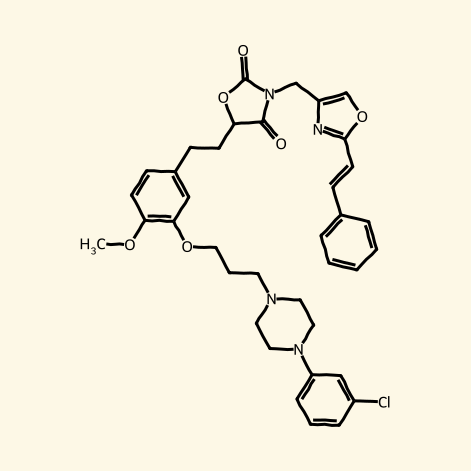 COc1ccc(CCC2OC(=O)N(Cc3coc(C=Cc4ccccc4)n3)C2=O)cc1OCCCN1CCN(c2cccc(Cl)c2)CC1